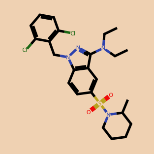 CCN(CC)c1nn(Cc2c(Cl)cccc2Cl)c2ccc(S(=O)(=O)N3CCCCC3C)cc12